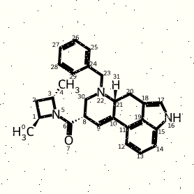 C[C@H]1C[C@H](C)N1C(=O)[C@H]1C=C2c3cccc4[nH]cc(c34)C[C@H]2N(Cc2ccccc2)C1